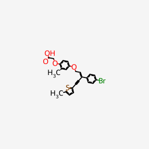 Cc1ccc(C#C/C(=C\COc2ccc(OCC(=O)O)c(C)c2)c2ccc(Br)cc2)s1